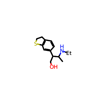 CCNC(C)C(CO)c1ccc2c(c1)SCC2